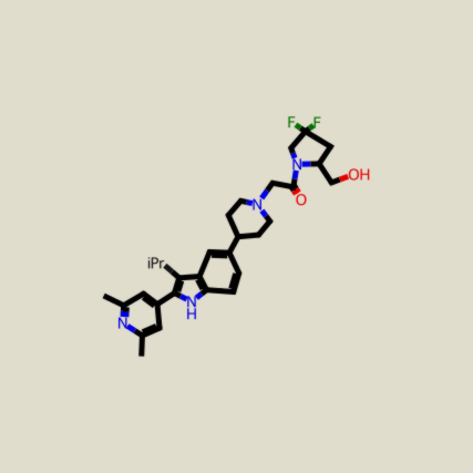 Cc1cc(-c2[nH]c3ccc(C4CCN(CC(=O)N5CC(F)(F)CC5CO)CC4)cc3c2C(C)C)cc(C)n1